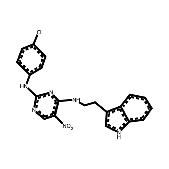 O=[N+]([O-])c1cnc(Nc2ccc(Cl)cc2)nc1NCCc1c[nH]c2ccccc12